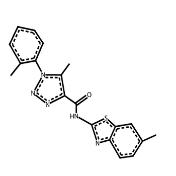 Cc1ccc2nc(NC(=O)c3nnn(-c4ccccc4C)c3C)sc2c1